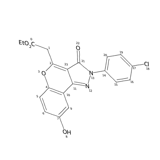 CCOC(=O)Cc1oc2ccc(O)cc2c2nn(-c3ccc(Cl)cc3)c(=O)c1-2